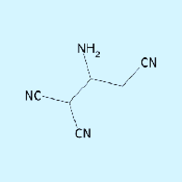 N#CCC(N)C(C#N)C#N